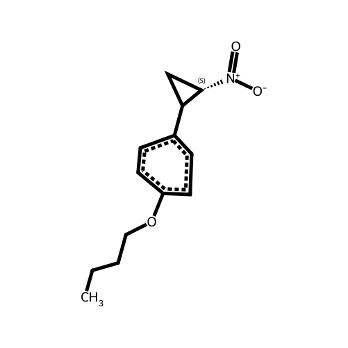 CCCCOc1ccc(C2C[C@@H]2[N+](=O)[O-])cc1